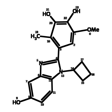 COc1cc(-c2nc3cc(O)ccc3n2C2CCC2)c(C)c(O)c1O